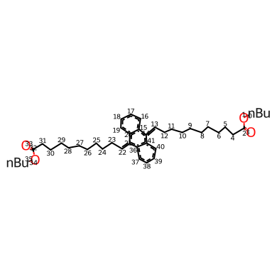 CCCCOC(=O)CCCCCCCCCC=c1c2ccccc2c(=CCCCCCCCCCC(=O)OCCCC)c2ccccc12